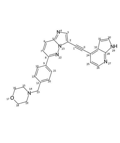 C(#Cc1cnc2ccc(-c3ccc(CN4CCOCC4)cc3)nn12)c1ccnc2[nH]ccc12